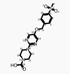 CS(=O)(=O)c1ccc(COc2cnc(N3CCN(C(=O)O)CC3)nc2)cc1